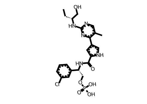 CC[C@H](CO)Nc1ncc(C)c(-c2c[nH]c(C(=O)N[C@H](COP(=O)(O)O)c3cccc(Cl)c3)c2)n1